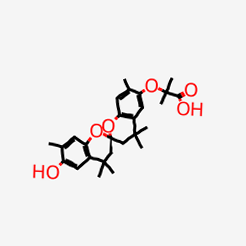 Cc1cc2c(cc1O)C(C)(C)C[C@@]1(CC(C)(C)c3cc(OC(C)(C)C(=O)O)c(C)cc3O1)O2